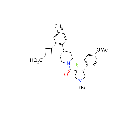 COc1ccc([C@@H]2CN(C(C)(C)C)C[C@@]2(F)C(=O)N2CCC(c3ccc(C)cc3C3CC(C(=O)O)C3)CC2)cc1